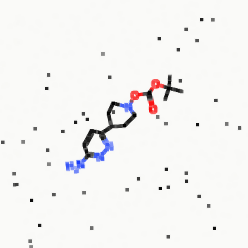 CC(C)(C)OC(=O)ON1CCC(c2ccc(N)nn2)CC1